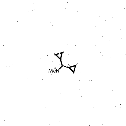 CNC(C1CC1)C1CC1